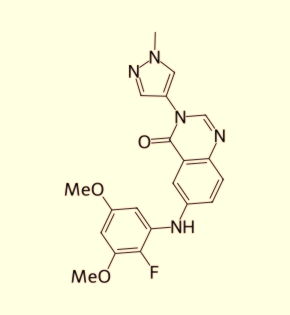 COc1cc(Nc2ccc3ncn(-c4cnn(C)c4)c(=O)c3c2)c(F)c(OC)c1